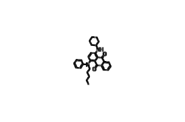 CCCCCN(c1ccccc1)c1ccc(NC2CCCCC2)c2c1C(=O)c1ccccc1C2=O